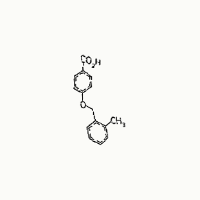 Cc1ccccc1COc1ccc(C(=O)O)cc1